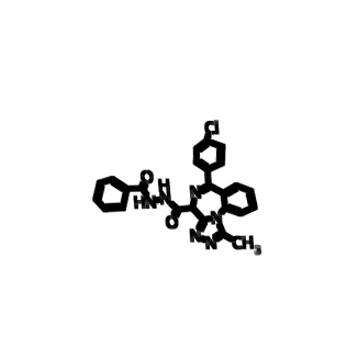 Cc1nnc2n1-c1ccccc1C(c1ccc(Cl)cc1)=NC2C(=O)NNC(=O)c1ccccc1